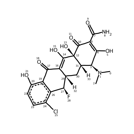 CN(C)[C@@H]1C(O)=C(C(N)=O)C(=O)[C@@]2(O)C(O)=C3C(=O)c4c(O)ccc(Cl)c4[C@H](F)[C@H]3C[C@@H]12